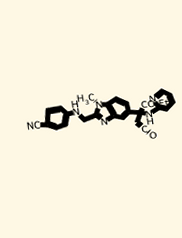 CCOC(=O)C(C=C=O)(Nc1ccccn1)c1ccc2c(c1)nc(CNc1ccc(C#N)cc1)n2C